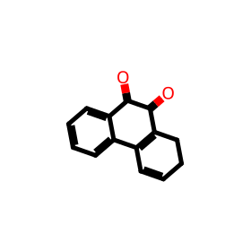 O=C1C(=O)c2ccccc2C2=C1CCC=C2